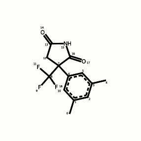 Cc1cc(C)cc(C2(C(F)(F)F)CC(=O)NC2=O)c1